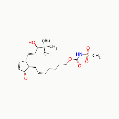 CCCCC(C)(C)[C@H](O)/C=C/[C@H]1C=CC(=O)[C@@H]1C/C=C\CCCCOC(=O)NS(C)(=O)=O